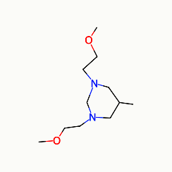 COCCN1CC(C)CN(CCOC)C1